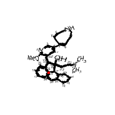 COc1ncc(C2=CCNCC2)cc1C(c1ccccc1)C(O)(CCN(C)C)c1cccc2ccccc12